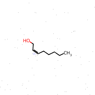 CCCCC/C=C\CO